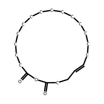 O=C1CC/C=C/CCCCCCCCCCCCCCC(=O)O1